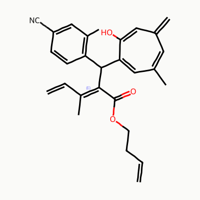 C=CCCOC(=O)/C(=C(\C)C=C)C(C1=CC(C)=CC(=C)C=C1O)c1ccc(C#N)cc1C